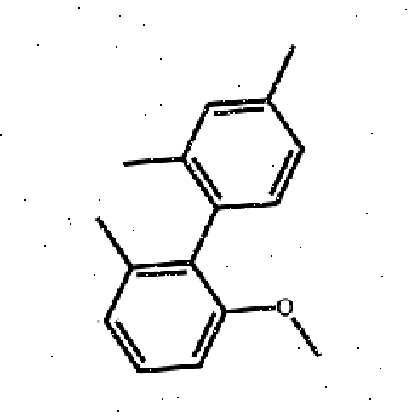 COc1cc[c]c(C)c1-c1ccc(C)cc1C